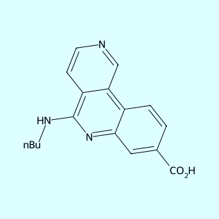 CCCCNc1nc2cc(C(=O)O)ccc2c2cnccc12